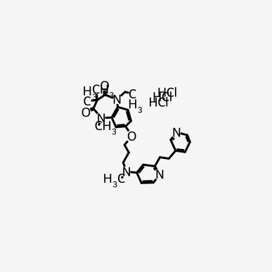 CCN1C(=O)C(C)(C)C(=O)N(C)c2cc(OCCCN(C)c3ccnc(CCc4cccnc4)c3)ccc21.Cl.Cl.Cl